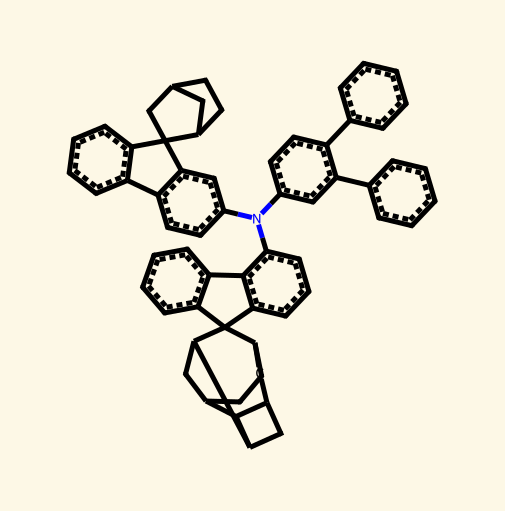 c1ccc(-c2ccc(N(c3ccc4c(c3)C3(CC5CCC3C5)c3ccccc3-4)c3cccc4c3-c3ccccc3C43C4CCC5CC3C3CC(C4)C53)cc2-c2ccccc2)cc1